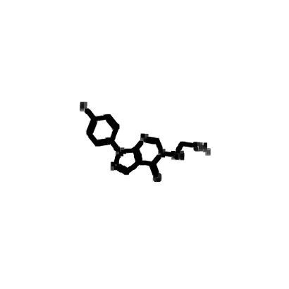 CCNn1cnc2c(cnn2-c2ccc(F)cc2)c1=O